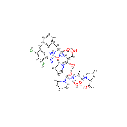 CC(=O)[C@@H]1C[C@H](C)CN1C(=O)[C@H](C)NC(=O)[C@@H]1CCCCN1C(=O)[C@@H]1CCCN1C(=O)[C@H](CO)NC(=O)[C@H](Cc1cccc(C)c1)NC(=O)Nc1ccc(Cl)cc1F